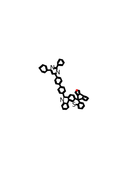 c1ccc(-c2cc(-c3ccc(-c4ccc(-c5nc6ccccc6c6c7c(ccc56)C5(c6ccccc6S7)c6ccccc6-c6ccccc65)cc4)cc3)nc(-c3ccccc3)n2)cc1